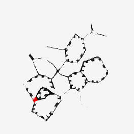 CCCCn1c(-c2ccccc2)c(C2(c3ccc(N(CC)CC)cc3C)OC(=O)c3nccnc32)c2ccccc21